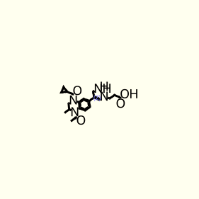 CC(=O)N1c2ccc(/C(C=N)=C/NCCC(=O)O)cc2N(C(=O)C2CC2)CC1C